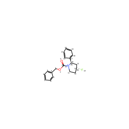 O=C(OCc1ccccc1)N1CC[C@@H](F)C[C@@H]1c1ccccc1